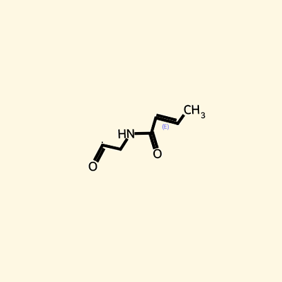 C/C=C/C(=O)NC[C]=O